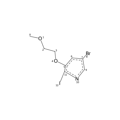 COCCOc1cc(Br)cnc1I